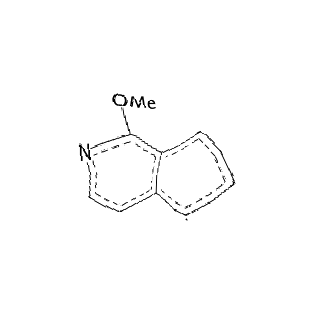 COc1nccc2[c]cccc12